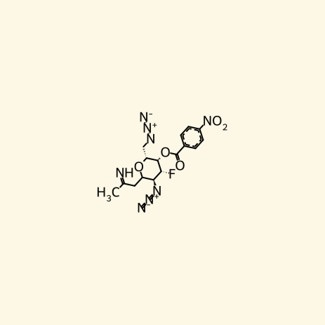 CC(=N)CC1O[C@H](CN=[N+]=[N-])[C@H](OC(=O)c2ccc([N+](=O)[O-])cc2)[C@H](F)[C@H]1N=[N+]=[N-]